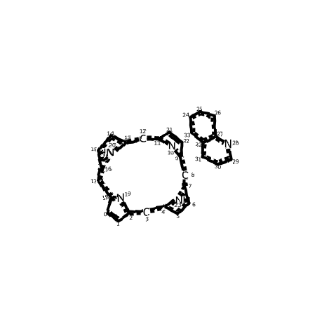 C1=Cc2cc3ccc(cc4nc(cc5ccc(cc1n2)[nH]5)C=C4)[nH]3.c1ccc2ncccc2c1